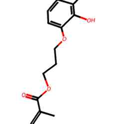 C=C(C)C(=O)OCCCOc1cccc(C(C)(C)C)c1O